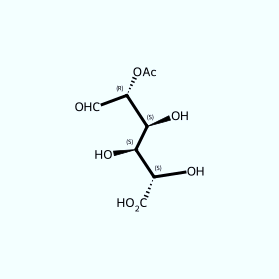 CC(=O)O[C@@H](C=O)[C@@H](O)[C@H](O)[C@H](O)C(=O)O